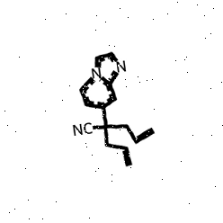 C=CCC(C#N)(CC=C)c1ccn2ccnc2c1